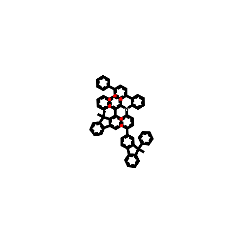 CC1(C)c2ccccc2-c2cccc(-c3ccccc3N(c3ccc(-c4ccc5c(c4)C(C)(c4ccccc4)c4ccccc4-5)cc3)c3ccccc3-c3ccc(-c4ccccc4)c(-c4ccccc4)c3)c21